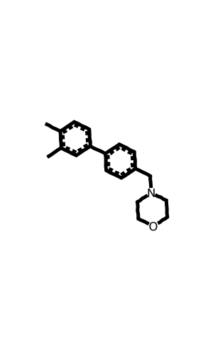 Cc1ccc(-c2ccc(CN3CCOCC3)cc2)cc1C